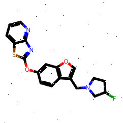 FC1CCN(Cc2coc3cc(Oc4nc5ncccc5s4)ccc23)C1